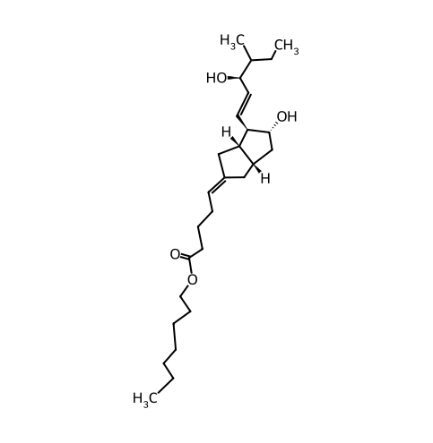 CCCCCCCOC(=O)CCC/C=C1\C[C@H]2C[C@@H](O)[C@H](/C=C/[C@@H](O)C(C)CC)[C@H]2C1